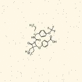 CCC[C@@H](NC(=O)N1C(=O)C(CC)(CC)C1Oc1ccc(C(=O)O)cc1)c1ccc(OC(F)(F)F)cc1